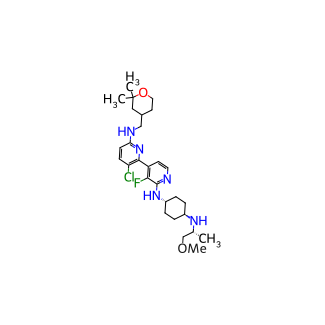 COC[C@@H](C)N[C@H]1CC[C@H](Nc2nccc(-c3nc(NCC4CCOC(C)(C)C4)ccc3Cl)c2F)CC1